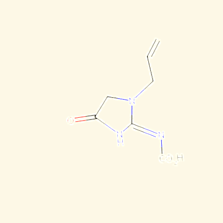 C=CCN1CC(=O)NC1=NC(=O)O